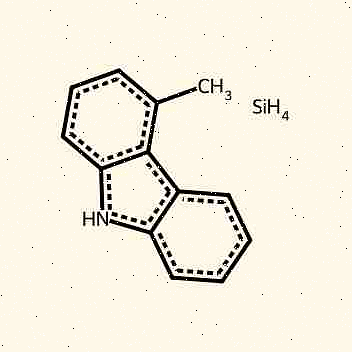 Cc1cccc2[nH]c3ccccc3c12.[SiH4]